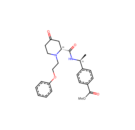 COC(=O)c1ccc([C@H](C)NC(=O)[C@H]2CC(=O)CCN2CCOc2ccccc2)cc1